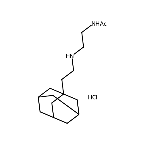 CC(=O)NCCNCCC12CC3CC(CC(C3)C1)C2.Cl